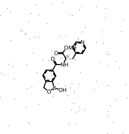 COC(=O)[C@H](Cc1ccncc1)NC(=O)c1ccc2c(c1)B(O)OC2